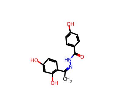 CC(=NNC(=O)c1ccc(O)cc1)c1ccc(O)cc1O